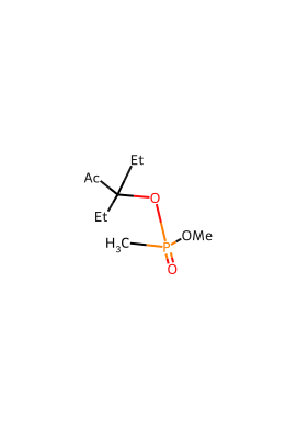 CCC(CC)(OP(C)(=O)OC)C(C)=O